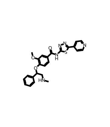 CNCC(Oc1ccc(C(=O)Nc2nnc(-c3ccncc3)s2)cc1OC)c1ccccc1